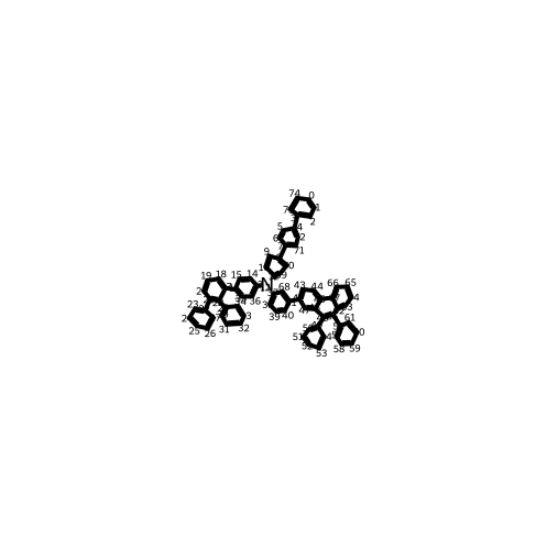 c1ccc(-c2ccc(-c3ccc(N(c4ccc(-c5cccc(-c6ccccc6)c5-c5ccccc5)cc4)c4cccc(-c5ccc6c(c5)c(-c5ccccc5)c(-c5ccccc5)c5ccccc56)c4)cc3)cc2)cc1